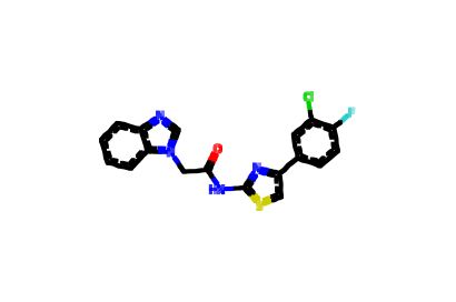 O=C(Cn1cnc2ccccc21)Nc1nc(-c2ccc(F)c(Cl)c2)cs1